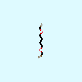 BrCOCCCCOCBr